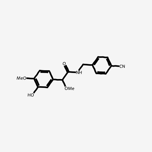 COc1ccc(C(OC)C(=O)NCc2ccc(C#N)cc2)cc1O